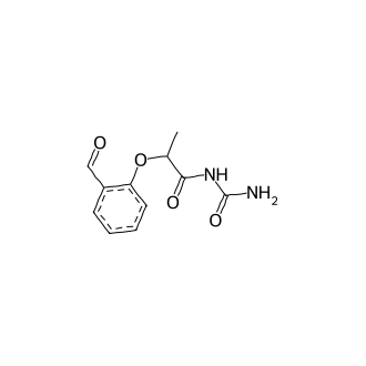 CC(Oc1ccccc1C=O)C(=O)NC(N)=O